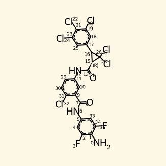 Nc1c(F)cc(NC(=O)c2cc(NC(=O)[C@H]3C(c4cc(Cl)c(Cl)c(Cl)c4)C3(Cl)Cl)ccc2Cl)cc1F